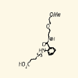 COCCOCCNC(=O)c1ccccc1NSSCCC(=O)O